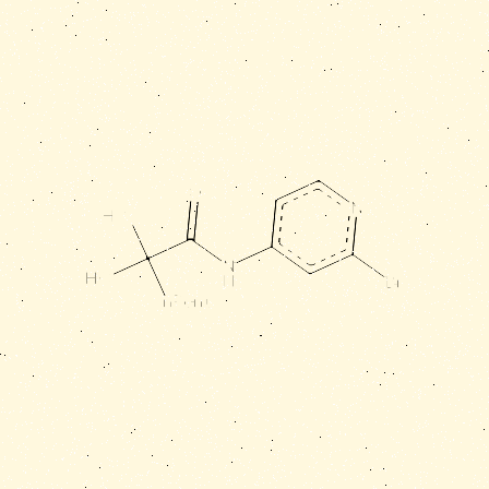 CCCCCC(C)(O)C(=O)Nc1ccnc(Br)c1